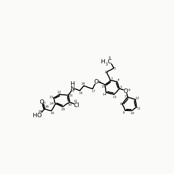 CCCc1cc(Oc2ccccc2)ccc1OCCCNc1ccc(CC(=O)O)cc1Cl